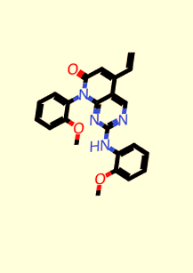 C=Cc1cc(=O)n(-c2ccccc2OC)c2nc(Nc3ccccc3OC)ncc12